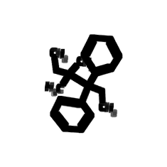 CCC(C)(C)C(CC)(c1ccccc1)c1ccccc1